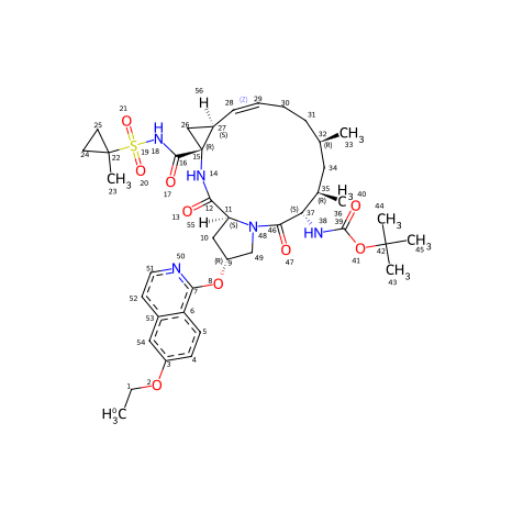 CCOc1ccc2c(O[C@@H]3C[C@H]4C(=O)N[C@]5(C(=O)NS(=O)(=O)C6(C)CC6)C[C@H]5/C=C\CC[C@@H](C)C[C@@H](C)[C@H](NC(=O)OC(C)(C)C)C(=O)N4C3)nccc2c1